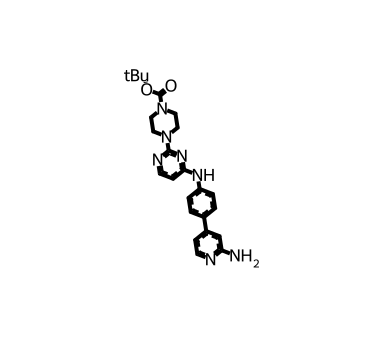 CC(C)(C)OC(=O)N1CCN(c2nccc(Nc3ccc(-c4ccnc(N)c4)cc3)n2)CC1